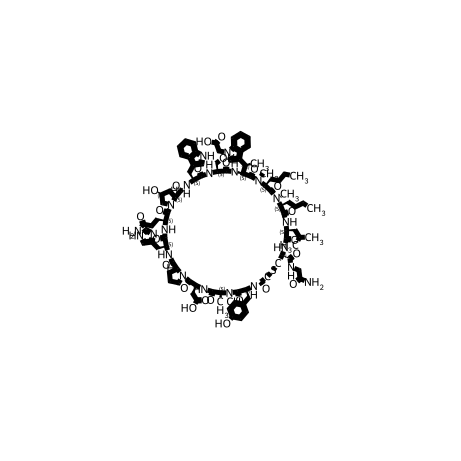 CCCC[C@H]1C(=O)N(C)[C@@H](CCCC)C(=O)N[C@@H](CC(C)C)C(=O)N[C@H](C(=O)NCC(N)=O)CSCC(=O)N[C@@H](Cc2ccc(O)cc2)C(=O)N(C)[C@@H](C)C(=O)N[C@@H](CC(=O)O)C(=O)N2CCC[C@H]2C(=O)N[C@@H](Cc2c[nH]cn2)C(=O)N[C@@H](CCC(N)=O)C(=O)N2C[C@H](O)C[C@H]2C(=O)N[C@@H](Cc2c[nH]c3ccccc23)C(=O)N[C@@H](CO)C(=O)N[C@@H]([C@H](C)c2cn(CC(=O)O)c3ccccc23)C(=O)N1C